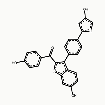 O=C(c1ccc(O)cc1)c1sc2cc(O)ccc2c1-c1ccc(-c2nc(O)co2)cc1